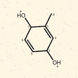 CC1=CC(O)C=CC1O